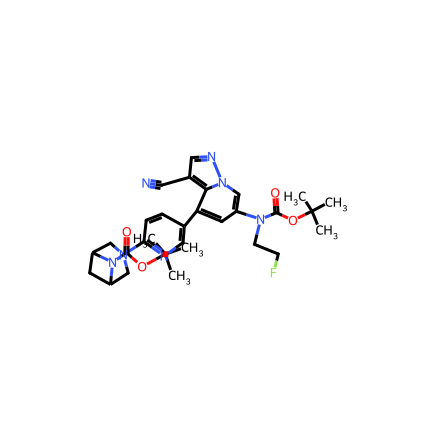 CC(C)(C)OC(=O)N(CCF)c1cc(-c2ccc(N3CC4CC(C3)N4C(=O)OC(C)(C)C)nc2)c2c(C#N)cnn2c1